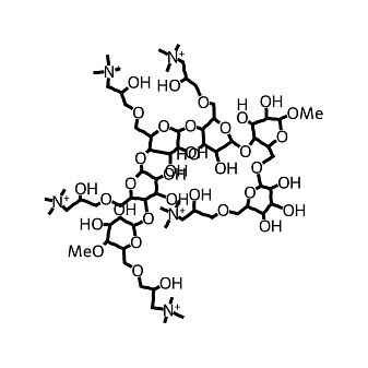 COC1OC(COC2OC(COCC(O)C[N+](C)(C)C)C(O)C(O)C2O)C(OC2OC(COCC(O)C[N+](C)(C)C)C(OC3OC(COCC(O)C[N+](C)(C)C)C(OC4OC(COCC(O)C[N+](C)(C)C)C(OC5OC(COCC(O)C[N+](C)(C)C)C(OC)C(O)C5O)C(O)C4O)C(O)C3O)C(O)C2O)C(O)C1O